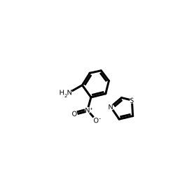 Nc1ccccc1[N+](=O)[O-].c1cscn1